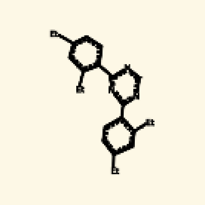 CCc1ccc(-c2n[c]nc(-c3ccc(CC)cc3CC)n2)c(CC)c1